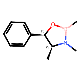 CB1O[C@H](c2ccccc2)[C@H](C)N1C